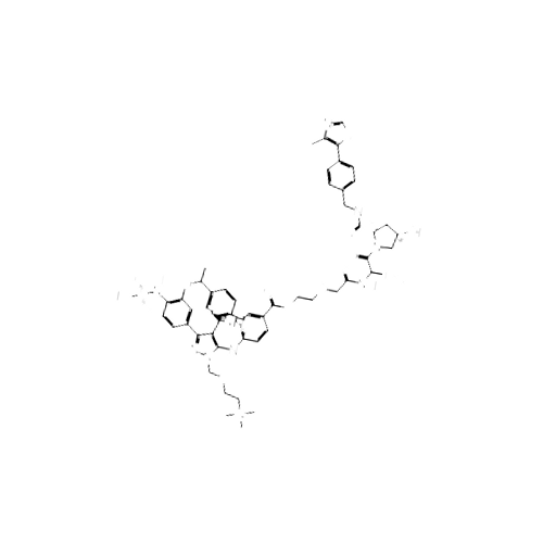 CCS(=O)(=O)Nc1ccc(-c2nn(COCC[Si](C)(C)C)c(Nc3ccc(C(=O)OCCOCC(=O)NC(C(=O)N4C[C@H](O)C[C@H]4C(=O)NCc4ccc(-c5scnc5C)cc4)C(C)(C)C)cn3)c2C(N)=O)cc1OC(C)c1ccc(F)cc1